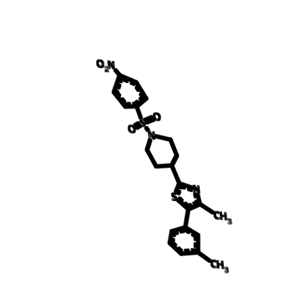 Cc1cccc(-c2sc(C3CCN(S(=O)(=O)c4ccc([N+](=O)[O-])cc4)CC3)nc2C)c1